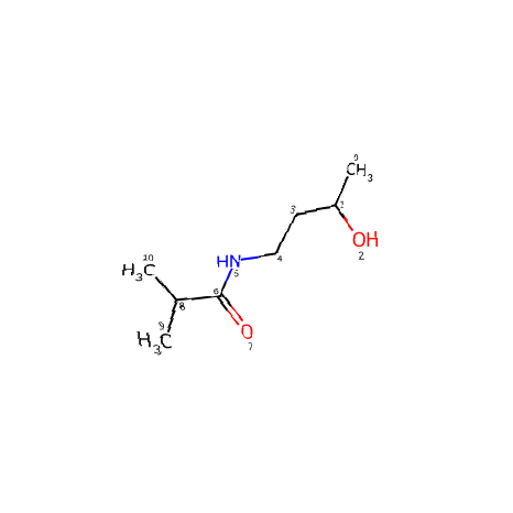 CC(O)CCNC(=O)C(C)C